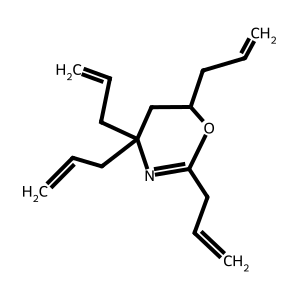 C=CCC1=NC(CC=C)(CC=C)CC(CC=C)O1